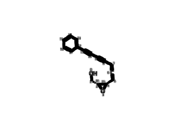 OC[C@H]1O[C@@H]1C=C=CC#CC#Cc1ccccc1